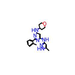 Cc1cc(Nc2cc(NC3CCOCC3)nc(-c3ccccc3C)n2)n[nH]1